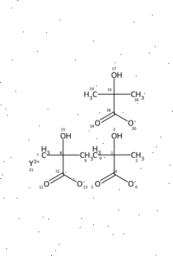 CC(C)(O)C(=O)[O-].CC(C)(O)C(=O)[O-].CC(C)(O)C(=O)[O-].[Y+3]